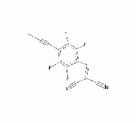 CC#Cc1c(F)c(F)c(C=C(C#N)C#N)c(F)c1F